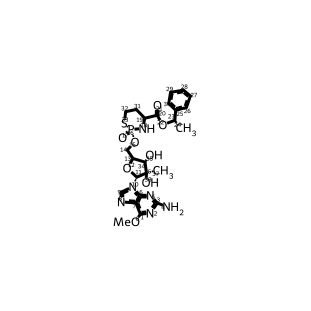 COc1nc(N)nc2c1ncn2[C@@H]1OC(CO[P@@]2(=O)NC(C(=O)O[C@H](C)c3ccccc3)CCS2)[C@@H](O)[C@@]1(C)O